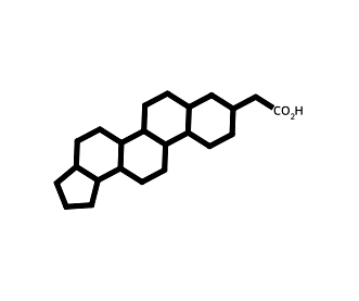 O=C(O)CC1CCC2C(CCC3C2CCC2C4CCCC4CCC23)C1